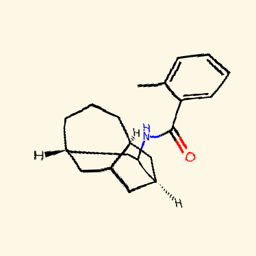 Cc1ccccc1C(=O)NC1[C@@H]2CC3C[C@@H]1CCC[C@H]3C2